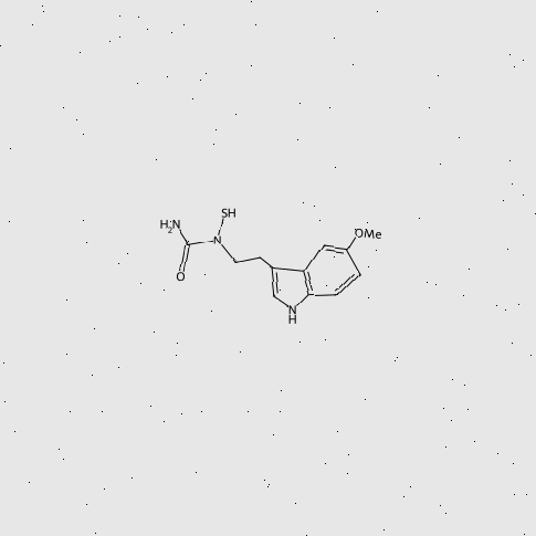 COc1ccc2[nH]cc(CCN(S)C(N)=O)c2c1